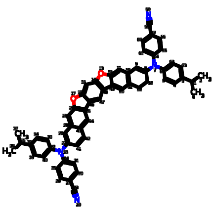 CC(C)c1ccc(N(C2=Cc3cc4oc5cc6oc7cc8cc(N(c9ccc(C#N)cc9)c9ccc(C(C)C)cc9)ccc8cc7c6cc5c4cc3CC2)c2ccc(C#N)cc2)cc1